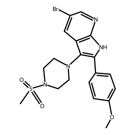 COc1ccc(-c2[nH]c3ncc(Br)cc3c2N2CCN(S(C)(=O)=O)CC2)cc1